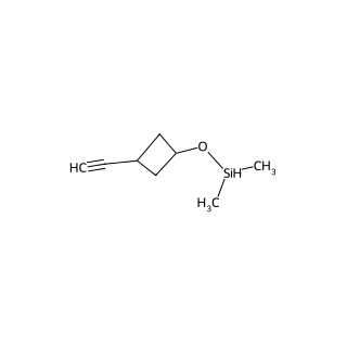 C#CC1CC(O[SiH](C)C)C1